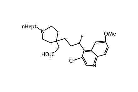 CCCCCCCN1CCC(CCC(F)c2c(Cl)cnc3ccc(OC)cc23)(CC(=O)O)CC1